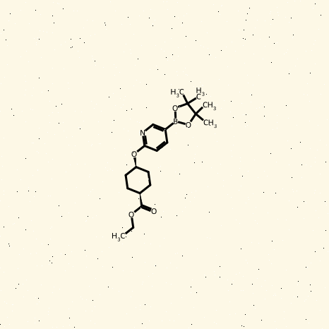 CCOC(=O)[C@H]1CC[C@@H](Oc2ccc(B3OC(C)(C)C(C)(C)O3)cn2)CC1